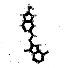 Cc1cccn2c(C)c(CCc3ccc4nc(N)oc4c3)nc12